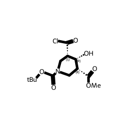 COC(=O)[C@@H]1CN(C(=O)OC(C)(C)C)C[C@H](C(=O)Cl)[C@@H]1O